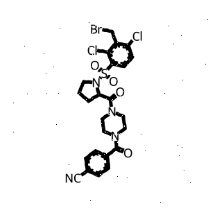 N#Cc1ccc(C(=O)N2CCN(C(=O)C3CCCN3S(=O)(=O)c3ccc(Cl)c(CBr)c3Cl)CC2)cc1